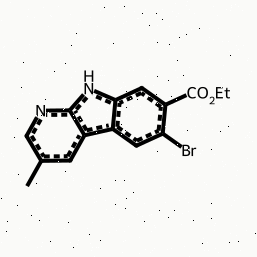 CCOC(=O)c1cc2[nH]c3ncc(C)cc3c2cc1Br